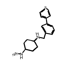 CCCNC1CCC(NCc2cccc(-c3ccncc3)c2)CC1